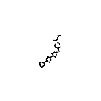 CC(C)(C)OC(=O)N1CCC(Oc2ccc(-c3ccc(-c4ccccc4)nc3)cc2)CC1